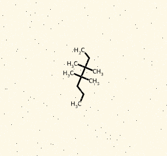 [CH2]CC(C)(C)C(C)(C)CCC